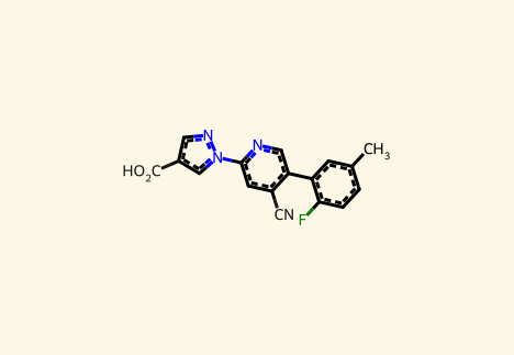 Cc1ccc(F)c(-c2cnc(-n3cc(C(=O)O)cn3)cc2C#N)c1